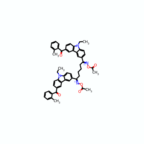 CCn1c2ccc(C(=O)c3ccccc3C)cc2c2cc(/C(CCCC/C(=N\OC(C)=O)c3ccc4c(c3)c3cc(C(=O)c5ccccc5C)ccc3n4CC)=N/OC(C)=O)ccc21